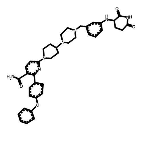 NC(=O)c1ccc(N2CCC(N3CCN(Cc4cccc(NC5CCC(=O)NC5=O)c4)CC3)CC2)nc1-c1ccc(Oc2ccccc2)cc1